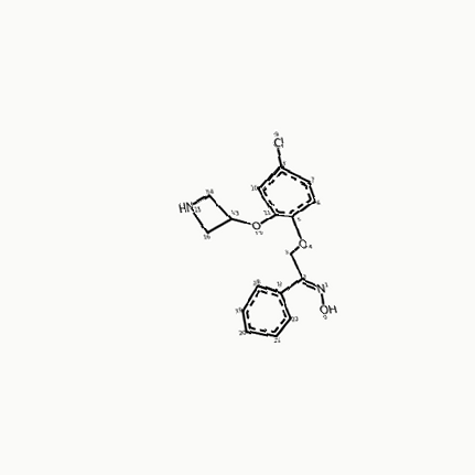 ON=C(COc1ccc(Cl)cc1OC1CNC1)c1ccccc1